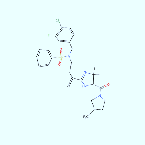 C=C(CCN(Cc1ccc(Cl)c(F)c1)S(=O)(=O)c1ccccc1)C1=NC(C)(C)[C@H](C(=O)N2CCC(C(F)(F)F)C2)N1